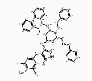 COc1c(F)cc(Cc2c(O[C@@H]3O[C@H](COCc4ccccc4)[C@@H](OCc4ccccc4)[C@H](OCc4ccccc4)[C@H]3OCc3ccccc3)n[nH]c2C)cc1F